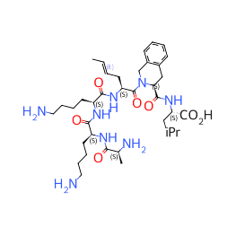 C/C=C/C[C@H](NC(=O)[C@H](CCCCN)NC(=O)[C@H](CCCCN)NC(=O)[C@H](C)N)C(=O)N1Cc2ccccc2C[C@H]1C(=O)N[C@@H](CC(C)C)C(=O)O